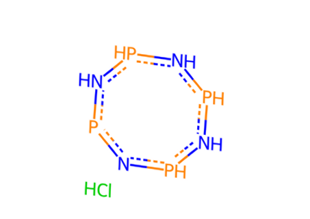 Cl.n1p[nH][pH][nH][pH][nH][pH]1